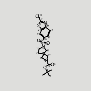 CC(C)(C)OC(=O)N1CC2(CCN(S(=O)(=O)c3ccc4nc(Cl)sc4c3)C2)C1